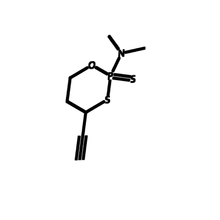 C#CC1CCOP(=S)(N(C)C)S1